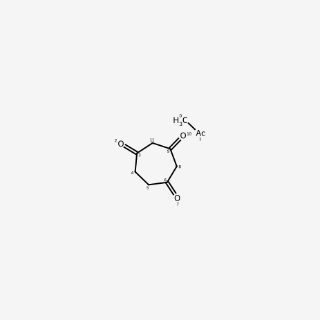 CC(C)=O.O=C1CCC(=O)CC(=O)C1